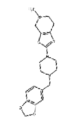 CN1CCc2nc(N3CCN(Cc4ccc5c(c4)OCO5)CC3)sc2C1